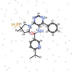 CC(C)c1ccc(C(=O)Nc2c(-c3ccccc3)ncnc2N2CCC(C)(P)C2)cn1